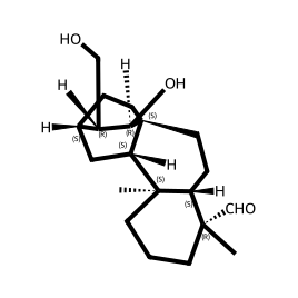 C[C@@]12CCC[C@@](C)(C=O)[C@H]1CC[C@@]13CC[C@@H](C[C@@H]21)[C@H](CO)[C@H]3O